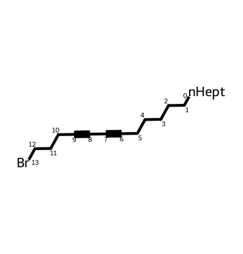 CCCCCCCCCCCCC#CC#CCCCBr